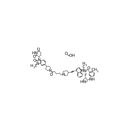 Cc1ccc(N[C@H]2CNC[C@@H]2F)cc1C(=O)N[C@H](C)c1ccc(C#CC2CCN(CCCCC(=O)N3CCC(c4ccc5c(c4)n(C)c(=O)n5C4CCC(=O)NC4=O)CC3)CC2)c2ccccc12.O=CO